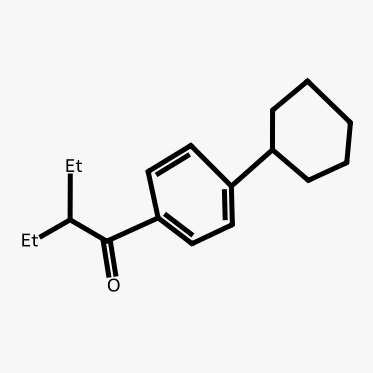 CCC(CC)C(=O)c1ccc(C2CCCCC2)cc1